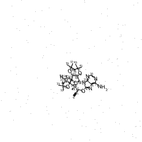 C#CCOc1nc2c(N)ncnc2n1[C@@H]1O[C@]([SiH3])(C(OC(C)(C)C)([Si](C)(C)C)[Si](C)(C)C)[C@@H](OC(C)(C)C)[C@H]1OC(C)(C)C